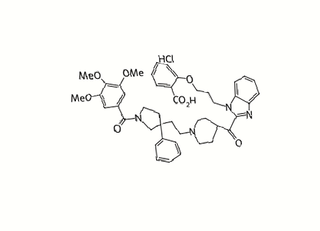 COc1cc(C(=O)N2CCC(CCN3CCC(C(=O)c4nc5ccccc5n4CCCOc4ccccc4C(=O)O)CC3)(c3ccccc3)C2)cc(OC)c1OC.Cl